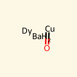 [BaH2].[Dy].[O]=[Cu]